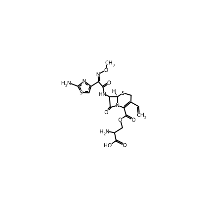 C=CC1=C(C(=O)OCC(N)C(=O)O)N2C(=O)C(NC(=O)/C(=N\OC)c3csc(N)n3)[C@H]2SC1